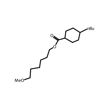 CCCCC1CCC(C(=O)OCCCCCCOC)CC1